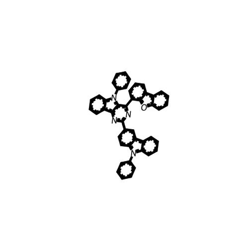 c1ccc(-n2c3ccccc3c3cc(-c4nc(-c5cccc6c5oc5ccccc56)c5c(n4)c4ccccc4n5-c4ccccc4)ccc32)cc1